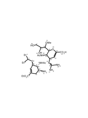 CCOC(=O)C1=C[C@@H](OC(CC)CC)[C@H](NC(C)=O)[C@@H](N)C1.COC(C(O)CO)C1OC(C(=O)O)=CC(N=C(N)N)C1NC(C)=O